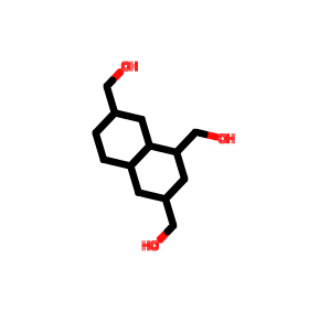 OCC1CC(CO)C2CC(CO)CCC2C1